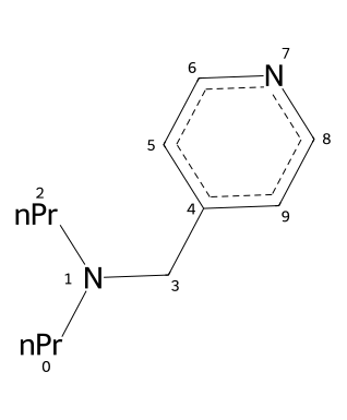 CCCN(CCC)Cc1ccncc1